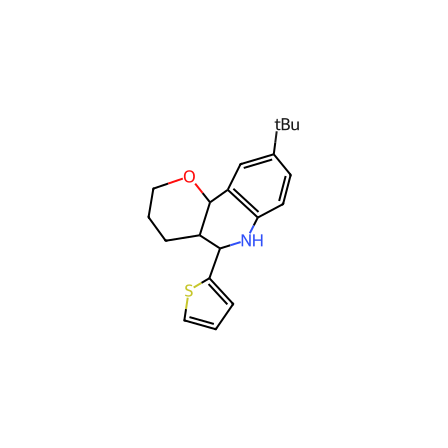 CC(C)(C)c1ccc2c(c1)C1OCCCC1C(c1cccs1)N2